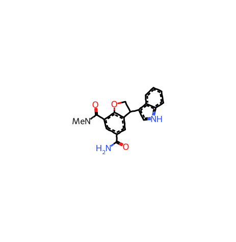 CNC(=O)c1cc(C(N)=O)cc2c1OCC2c1c[nH]c2ccccc12